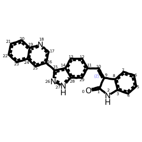 O=C1Nc2ccccc2/C1=C/c1ccc2c(-c3cnc4ccccc4c3)n[nH]c2c1